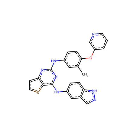 Cc1cc(Nc2nc(Nc3ccc4[nH]ncc4c3)c3sccc3n2)ccc1Oc1cccnc1